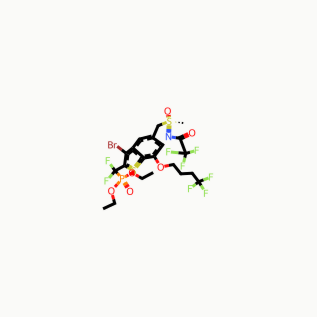 CCOP(=O)(OCC)C(F)(F)c1sc2c(OCCCC(F)(F)F)cc(C[S@@](C)(=O)=NC(=O)C(F)(F)F)cc2c1Br